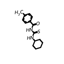 Cc1ccc(C(=O)NC(=S)NC2CCCCC2)cc1